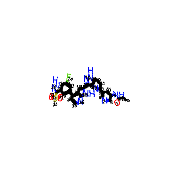 CCC(=O)Nc1cncc(-c2ccc3[nH]nc(-c4cc5c(-c6cc(F)cc(C(N)S(C)(=O)=O)c6)ccnc5[nH]4)c3n2)c1